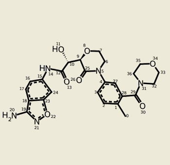 Cc1ccc(N2CCO[C@H]([C@@H](O)C(=O)Nc3ccc4c(N)noc4c3)C2=O)cc1C(=O)N1CCOCC1